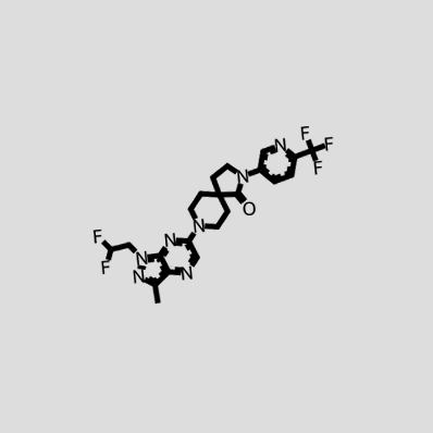 Cc1nn(CC(F)F)c2nc(N3CCC4(CC3)CCN(c3ccc(C(F)(F)F)nc3)C4=O)cnc12